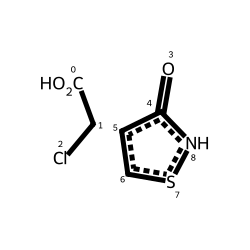 O=C(O)CCl.O=c1ccs[nH]1